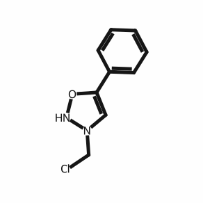 ClCN1C=C(c2ccccc2)ON1